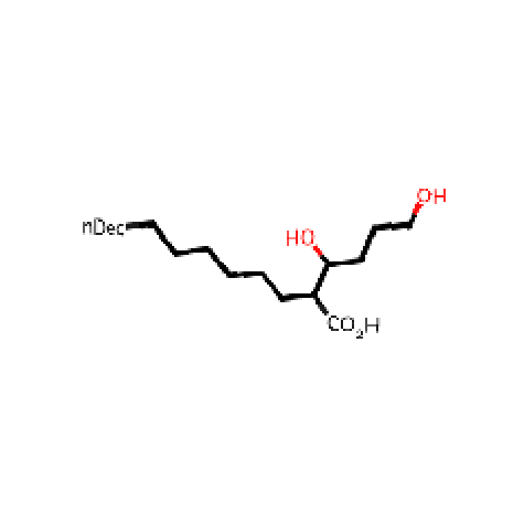 CCCCCCCCCCCCCCCCC(C(=O)O)C(O)CCCO